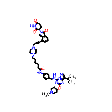 CC(C)c1cnn2c(NCc3ccc(NC(=O)CCCCCN4CCN(CC#Cc5cccc6c5CN(C5CCC(=O)NC5=O)C6=O)CC4)cc3)nc(OC3CCN(C)CC3)nc12